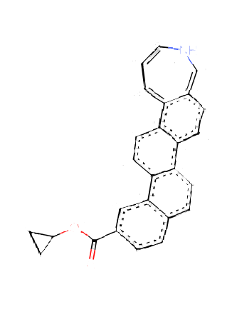 O=C(OC1CC1)c1ccc2ccc3c4ccc5c(c4ccc3c2c1)=CC=CNC=5